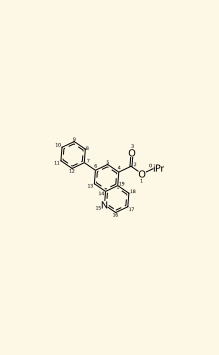 CC(C)OC(=O)c1cc(-c2ccccc2)cc2ncccc12